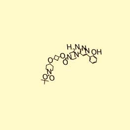 CC(C)(C)OC(=O)N1CCC(O[C@H]2C[C@H](OC(=O)N3CCN(c4cc(-c5ccccc5O)nnc4N)CC3)C2)CC1